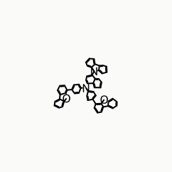 c1ccc2c(c1)oc1c(-c3ccc(N(c4ccc(-c5cccc6c5oc5ccccc56)cc4)c4ccc(-n5c6ccccc6c6ccccc65)c5ccccc45)cc3)cccc12